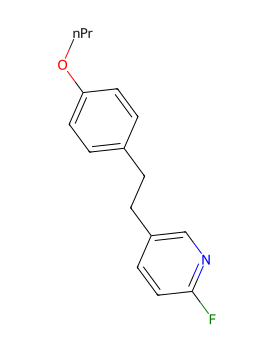 CCCOc1ccc(CCc2ccc(F)nc2)cc1